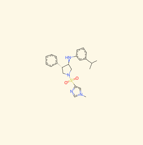 CC(C)c1cccc(N[C@H]2CN(S(=O)(=O)c3cn(C)cn3)C[C@@H]2c2ccccc2)c1